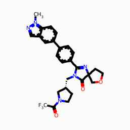 Cn1ncc2cc(-c3ccc(C4=NC5(CCOC5)C(=O)N4C[C@@H]4CCN(C(=O)C(F)(F)F)C4)cc3)ccc21